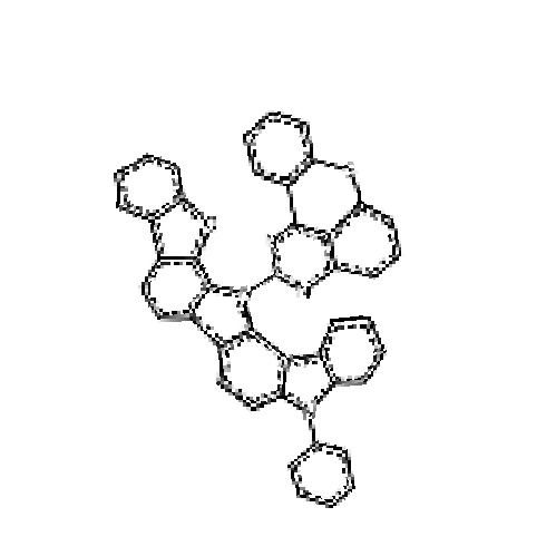 c1ccc(-n2c3ccccc3c3c2ccc2c4ccc5c6ccccc6oc5c4n(-c4nc5c6c(cccc6n4)Sc4ccccc4-5)c23)cc1